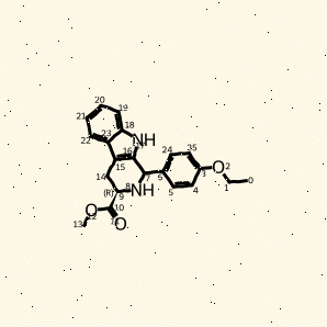 CCOc1ccc(C2N[C@@H](C(=O)OC)Cc3c2[nH]c2ccccc32)cc1